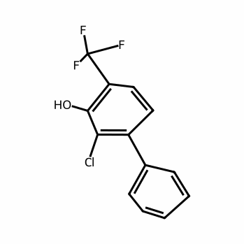 Oc1c(C(F)(F)F)ccc(-c2ccccc2)c1Cl